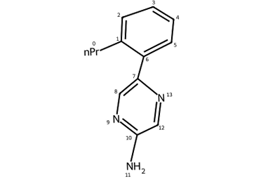 CCCc1ccccc1-c1cnc(N)cn1